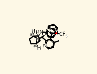 Cc1ccnc(C(=O)N2[C@@H]3CC[C@H]2[C@H](Nc2ccc(C(F)(F)F)cn2)C3)c1-c1ncccn1